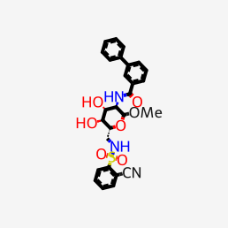 COC1O[C@H](CNS(=O)(=O)c2ccccc2C#N)[C@@H](O)[C@H](O)[C@H]1NC(=O)c1cccc(-c2ccccc2)c1